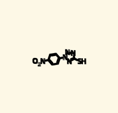 O=[N+]([O-])c1ccc(-n2nnc(S)n2)cc1